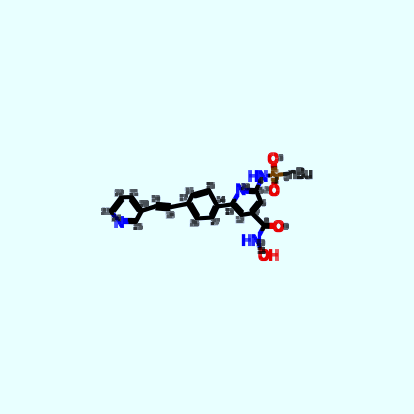 CCCCS(=O)(=O)Nc1cc(C(=O)NO)cc(-c2ccc(C#Cc3cccnc3)cc2)n1